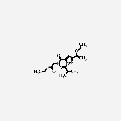 C=C(OCC)c1cc2c(=O)n(CC(=O)OCC)nc(C(C)C)n2n1